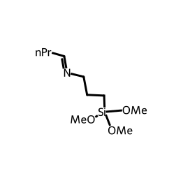 CCCC=NCCC[Si](OC)(OC)OC